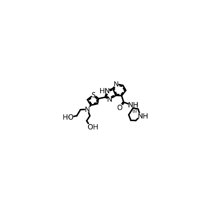 O=C(N[C@H]1CCCNC1)c1ccnc2[nH]c(-c3cc(N(CCO)CCO)cs3)nc12